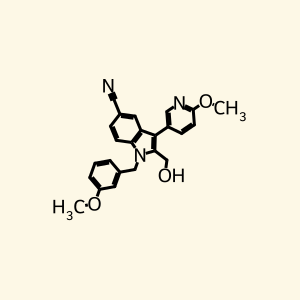 COc1cccc(Cn2c(CO)c(-c3ccc(OC)nc3)c3cc(C#N)ccc32)c1